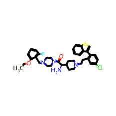 CCOc1cccc(F)c1CN1CCN(C(=O)[C@H](N)C2CCN(CCc3cc(Cl)ccc3-c3csc4ccccc34)CC2)CC1